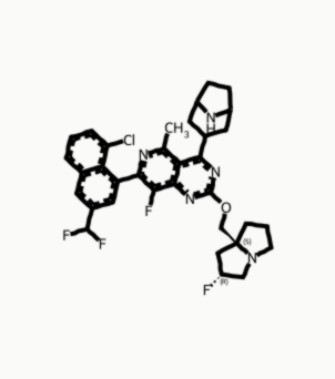 Cc1nc(-c2cc(C(F)F)cc3cccc(Cl)c23)c(F)c2nc(OC[C@@]34CCCN3C[C@H](F)C4)nc(C3CC4CCC(C3)N4)c12